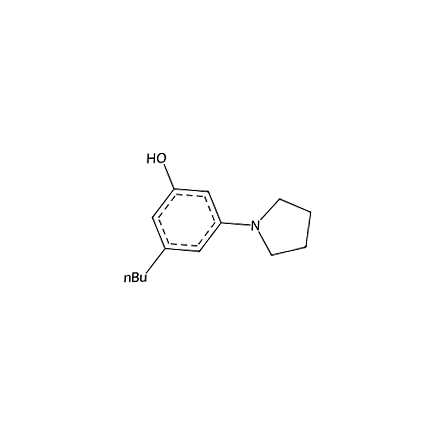 CCCCc1cc(O)cc(N2CCCC2)c1